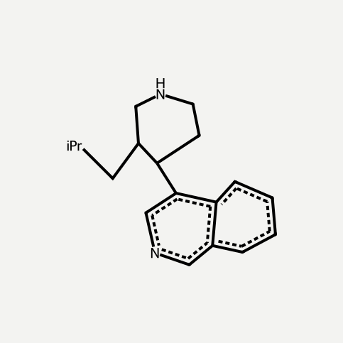 CC(C)CC1CNCCC1c1cncc2ccccc12